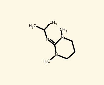 CC(C)N=C1N(C)CCCN1C